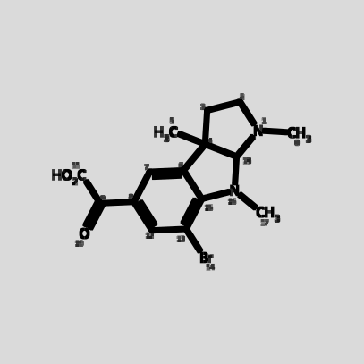 CN1CCC2(C)c3cc(C(=O)C(=O)O)cc(Br)c3N(C)C12